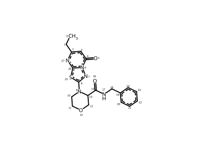 CCc1cc(=O)n2nc(N3CCOCC3C(=O)NCc3ccccc3)sc2n1